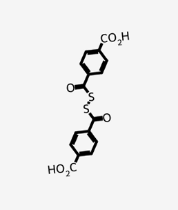 O=C(O)c1ccc(C(=O)SSC(=O)c2ccc(C(=O)O)cc2)cc1